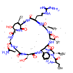 CC[C@@H]1C[C@H](O)[C@@H]2NC(=O)[C@H]1NC(=O)[C@@H](CCCNC(=N)N)NC(=O)[C@H](CC(C)C)NC(=O)[C@H]([C@H](O)C(C)C)NC(=O)[C@@H](NC(=O)[C@H](CC(C)(C)C)NC(=O)[C@H](N)CC(C)(C)C)[C@@H](c1ccccc1)NC(=O)[C@H](CO)NC(=O)[C@H](CC(N)=O)NC(=O)CNC2=O